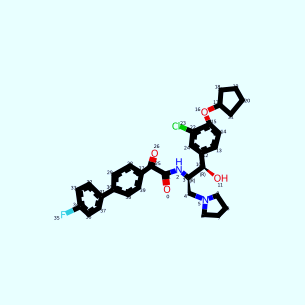 O=C(N[C@H](CN1CCCC1)[C@H](O)c1ccc(OC2CCCC2)c(Cl)c1)C(=O)c1ccc(-c2ccc(F)cc2)cc1